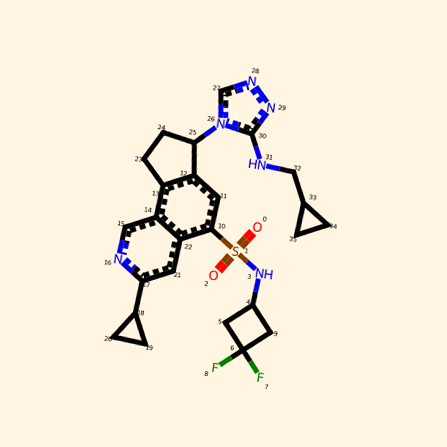 O=S(=O)(NC1CC(F)(F)C1)c1cc2c(c3cnc(C4CC4)cc13)CCC2n1cnnc1NCC1CC1